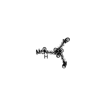 CN(C)C(C)(C)COC(=O)NCCCCCCn1c(=O)n(CCCCCCN=C=O)c(=O)n(CCCCCCN=C=O)c1=O